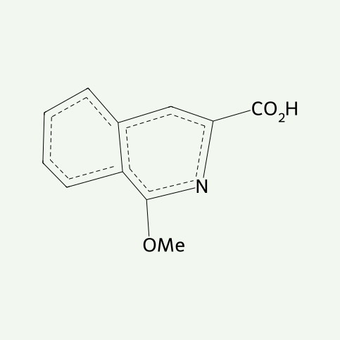 COc1nc(C(=O)O)cc2ccccc12